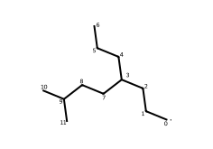 [CH2]CCC(CCC)CCC(C)C